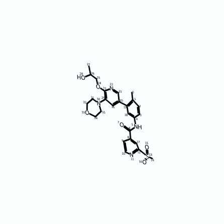 Cc1ccc(NC(=O)c2ccnc(S(C)(=O)=O)c2)cc1-c1cnc(OCC(C)O)c(N2CCOCC2)c1